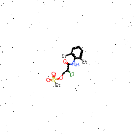 CCc1cccc(CC)c1NC(=O)C(Cl)COS(=O)(=O)CC